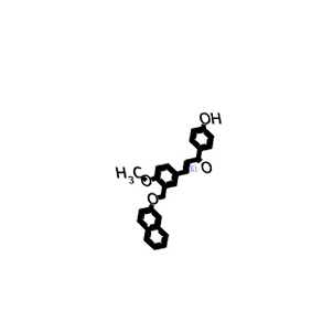 COc1ccc(/C=C/C(=O)c2ccc(O)cc2)cc1COc1ccc2ccccc2c1